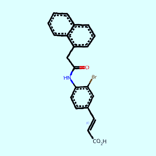 O=C(O)/C=C/c1ccc(NC(=O)Cc2cccc3ccccc23)c(Br)c1